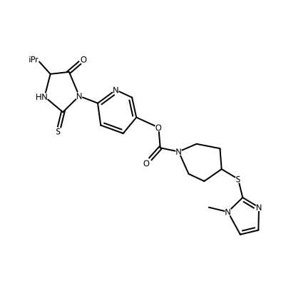 CC(C)C1NC(=S)N(c2ccc(OC(=O)N3CCC(Sc4nccn4C)CC3)cn2)C1=O